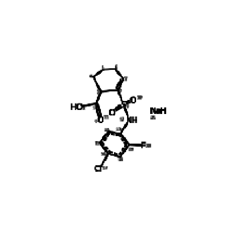 O=C(O)C1CCCC=C1S(=O)(=O)Nc1ccc(Cl)cc1F.[NaH]